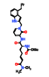 COC(=O)N[C@@H](CC/C=C/C(=O)N(C)C)C(=O)Nc1cccn(Cc2cc3c(CC(C)C)cccc3[nH]2)c1=O